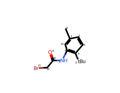 Cc1ccc(C(C)(C)C)c(NC(=O)CBr)c1